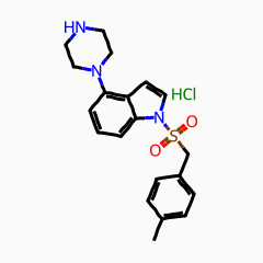 Cc1ccc(CS(=O)(=O)n2ccc3c(N4CCNCC4)cccc32)cc1.Cl